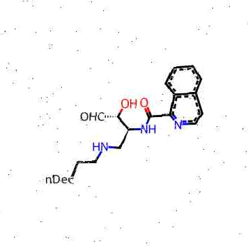 CCCCCCCCCCCCNC[C@H](NC(=O)c1nccc2ccccc12)[C@@H](O)C=O